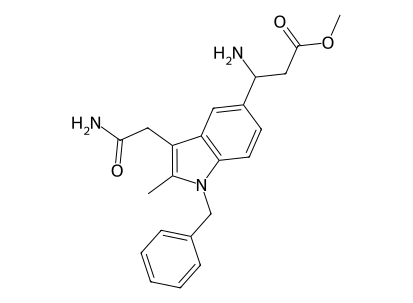 COC(=O)CC(N)c1ccc2c(c1)c(CC(N)=O)c(C)n2Cc1ccccc1